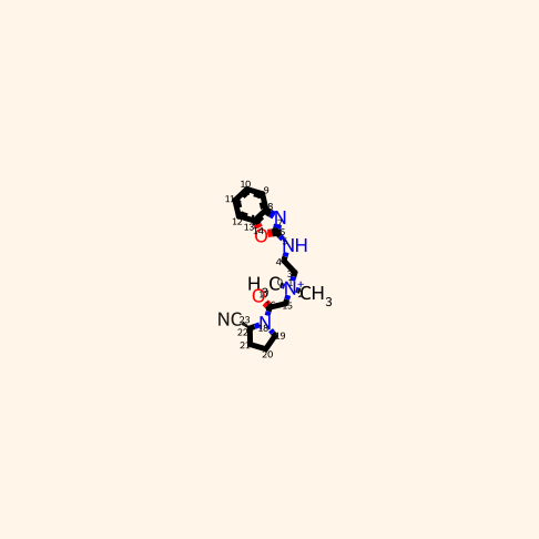 C[N+](C)(CCNc1nc2ccccc2o1)CC(=O)N1CCC[C@H]1C#N